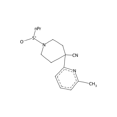 CCC[S+]([O-])N1CCC(C#N)(c2cccc(C)n2)CC1